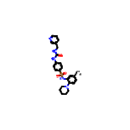 O=C(NCc1cccnc1)Nc1ccc(S(=O)(=O)Nc2cc(C(F)(F)F)ccc2N2CCCCC2)cc1